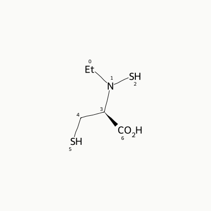 CCN(S)[C@H](CS)C(=O)O